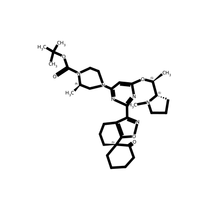 C[C@H](Oc1cc(N2CCN(C(=O)OC(C)(C)C)[C@H](C)C2)nc(-c2noc3c2CCC[C@@]32CCCCC2=O)n1)[C@@H]1CCCN1C